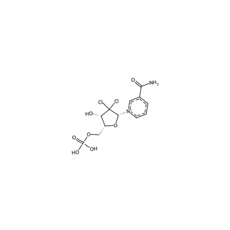 NC(=O)c1ccc[n+]([C@@H]2O[C@H](COP(=O)(O)O)[C@H](O)C2(Cl)Cl)c1